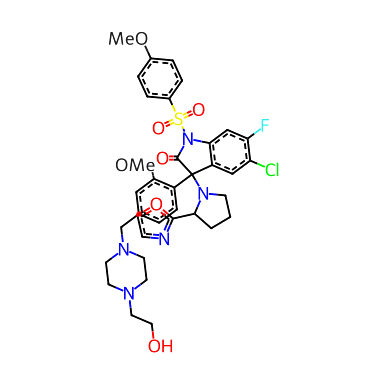 COc1ccc(S(=O)(=O)N2C(=O)C(c3ccc(CN4CCN(CCO)CC4)cc3OC)(N3CCCC3c3ncco3)c3cc(Cl)c(F)cc32)cc1